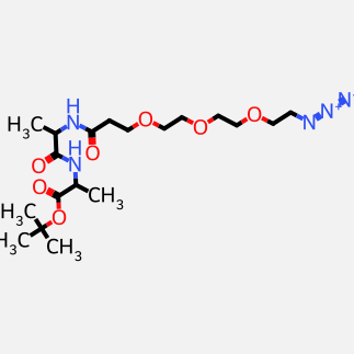 CC(NC(=O)CCOCCOCCOCCN=[N+]=[N-])C(=O)NC(C)C(=O)OC(C)(C)C